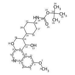 COc1ccc2ncc3c(c2c1)C(O)C(C1CCC(NC(=O)OC(C)(C)C)CC1)CO3